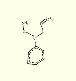 C=CC[SiH](O[SiH3])c1ccccc1